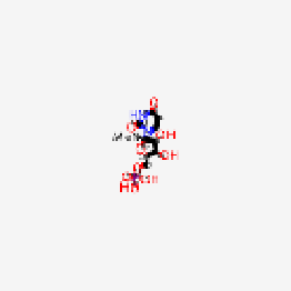 CN[C@@]1(n2ccc(=O)[nH]c2=O)O[C@H](COP(=O)(O)O)[C@@H](O)[C@H]1O